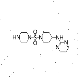 O=S(=O)(N1CCNCC1)N1CCC(Nc2ncccn2)CC1